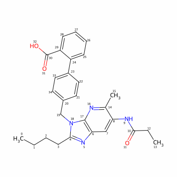 CCCCc1nc2cc(NC(=O)CC)c(C)nc2n1Cc1ccc(-c2ccccc2C(=O)O)cc1